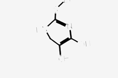 CCSC1=NC(O)=C(C)[CH]N1